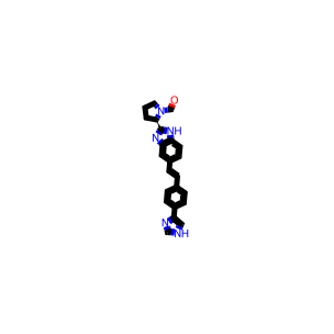 O=CN1CCC[C@H]1c1nc2cc(/C=C/c3ccc(-c4c[nH]cn4)cc3)ccc2[nH]1